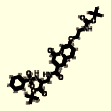 CC(C)(C)OC(=O)NCCOc1ccc2cc(C(=O)NCC(NS(=O)(=O)c3ccccc3)C(=O)OC(C)(C)C)cc(=O)n2c1